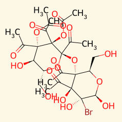 CC(=O)O[C@@]1(C(C)=O)[C@](O[C@]2(C(C)=O)[C@@H](CO)O[C@@H](O)[C@@](O)(Br)[C@]2(O)C(C)=O)(C(C)=O)O[C@H](CO)[C@@H](O)[C@@]1(OC(C)=O)C(C)=O